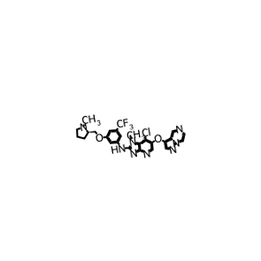 CN1CCC[C@@H]1COc1cc(Nc2nc3ncc(Oc4cnn5ccncc45)c(Cl)c3n2C)cc(C(F)(F)F)c1